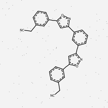 N#CCc1cccc(-c2cc(-c3cccc(-c4cc(-c5cccc(CC#N)c5)on4)c3)no2)c1